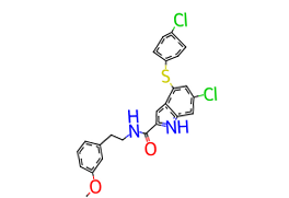 COc1cccc(CCNC(=O)c2cc3c(Sc4ccc(Cl)cc4)cc(Cl)cc3[nH]2)c1